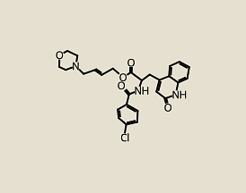 O=C(NC(Cc1cc(=O)[nH]c2ccccc12)C(=O)OCC=CCN1CCOCC1)c1ccc(Cl)cc1